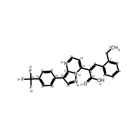 CCc1ccccc1C=C(C(=O)O)c1ccnc2c(-c3ccc(C(F)(F)F)cc3)cnn12